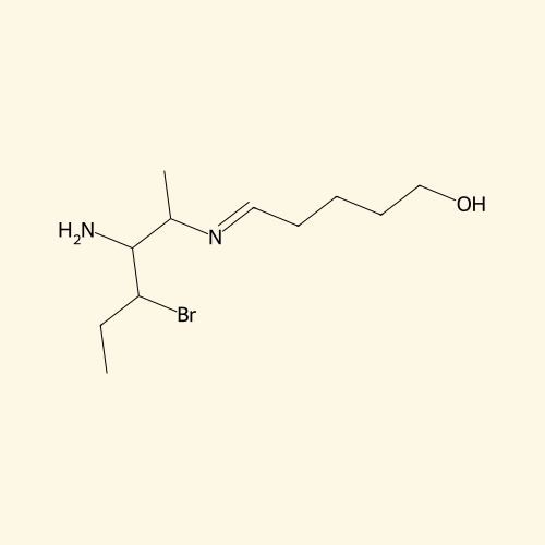 CCC(Br)C(N)C(C)N=CCCCCO